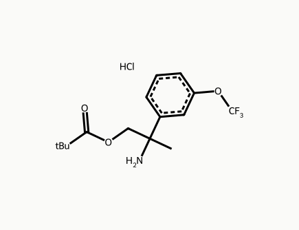 CC(C)(C)C(=O)OCC(C)(N)c1cccc(OC(F)(F)F)c1.Cl